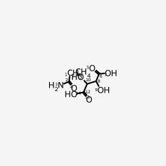 C.CC(N)=O.O=C(O)C(O)C(O)C(=O)O